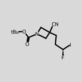 CC(C)(C)OC(=O)N1CC(C#N)(CC[C@H](F)I)C1